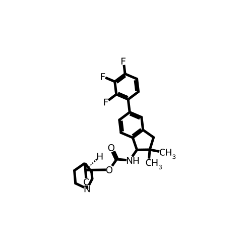 CC1(C)Cc2cc(-c3ccc(F)c(F)c3F)ccc2C1NC(=O)O[C@H]1CN2CCC1CC2